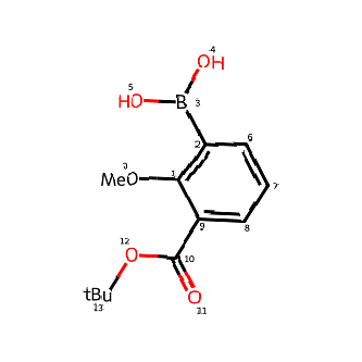 COc1c(B(O)O)cccc1C(=O)OC(C)(C)C